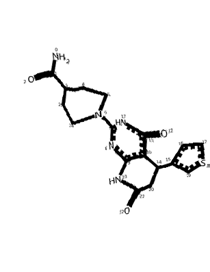 NC(=O)C1CCN(c2nc3c(c(=O)[nH]2)C(c2ccsc2)CC(=O)N3)CC1